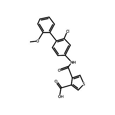 COc1ccccc1-c1ccc(NC(=O)c2cscc2C(=O)O)cc1Cl